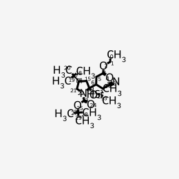 CCOC(=O)CC(CC#N)[C@@]1(O[SiH](C)C)C[C@H](C(C)(C)C)CN1C(=O)OC(C)(C)C